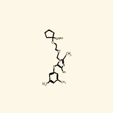 COC1(OCCOCn2c(C)nc(C(C)C)c2Sc2cc(C)cc(C)c2)CCCC1